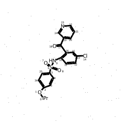 CC(C)Oc1ccc(S(=O)(=O)Nc2ccc(Cl)cc2C(=O)c2cccnc2)cc1